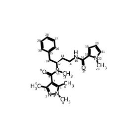 Cc1nn(C)c(C)c1C(=O)N(C)[C@H](CCNC(=O)c1cccn1C)Cc1ccccc1